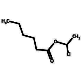 CCCCCC(=O)OC(C)Cl